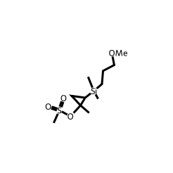 COCCC[Si](C)(C)C1CC1(C)OS(C)(=O)=O